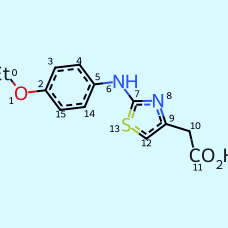 CCOc1ccc(Nc2nc(CC(=O)O)cs2)cc1